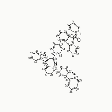 O=P(c1ccccc1)(c1ccccc1)c1cccc(-c2ccc(-c3nc4c(-c5ccc6sc7ccccc7c6c5)cccc4c4c3sc3ccccc34)cc2)c1